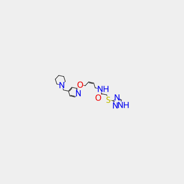 O=C(CSc1nc[nH]n1)NC/C=C\COc1cc(CN2CCCCC2)ccn1